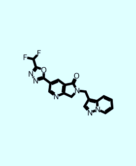 O=C1c2cc(-c3nnc(C(F)F)o3)cnc2CN1Cc1cnn2ccccc12